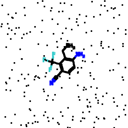 BCc1c(N)ccc(C#N)c1C(F)(F)F